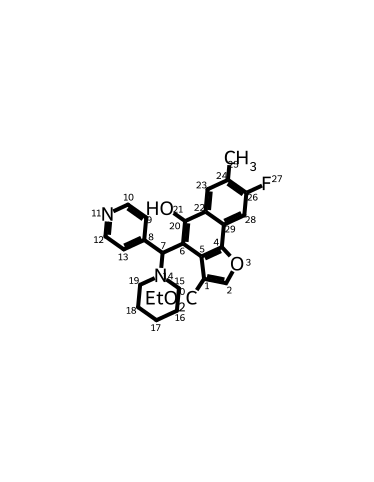 CCOC(=O)c1coc2c1c(C(c1ccncc1)N1CCCCC1)c(O)c1cc(C)c(F)cc12